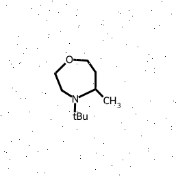 CC1CCOCCN1C(C)(C)C